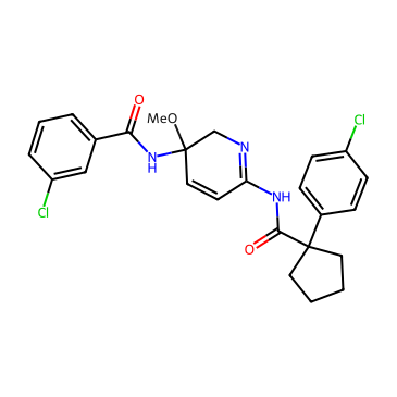 COC1(NC(=O)c2cccc(Cl)c2)C=CC(NC(=O)C2(c3ccc(Cl)cc3)CCCC2)=NC1